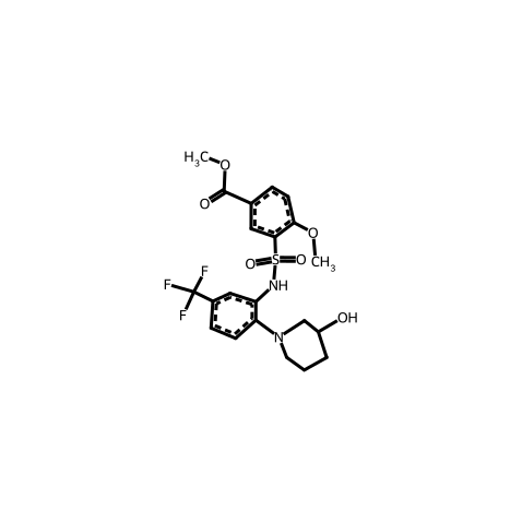 COC(=O)c1ccc(OC)c(S(=O)(=O)Nc2cc(C(F)(F)F)ccc2N2CCCC(O)C2)c1